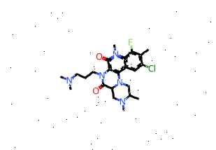 Cc1c(Cl)cc2c3c(c(=O)n(C)c2c1F)N(CCCN(C)C)C(=O)C1CN(C)C(C)CN31